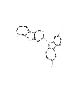 Bc1ccc2c(c1)c1ccc(C)cc1n2-c1cc2oc3ccccc3c2cn1